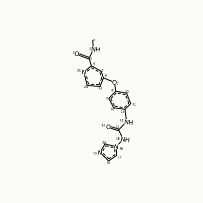 CNC(=O)c1cc(Oc2ccc(NC(=O)Nn3ccnc3)cc2)ccn1